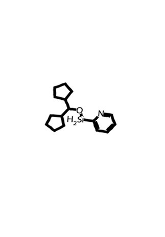 c1ccc([SiH2]OC(C2CCCC2)C2CCCC2)nc1